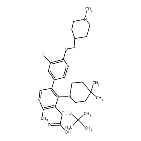 Cc1ncc(-c2cnc(OCC3CCN(C)CC3)c(F)c2)c(N2CCC(C)(C)CC2)c1[C@H](OC(C)(C)C)C(=O)O